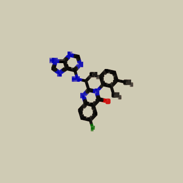 Cc1cccc(-n2c(C(C)Nc3ncnc4[nH]cnc34)nc3ccc(F)cc3c2=O)c1C